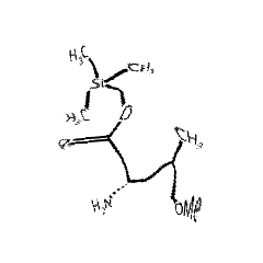 COC(C)[C@H](N)C(=O)O[Si](C)(C)C